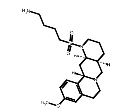 COc1ccc2c(c1)CCN1C[C@@H]3CCCN(S(=O)(=O)CCCCN)[C@@H]3C[C@@H]21